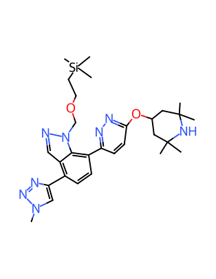 Cn1cc(-c2ccc(-c3ccc(OC4CC(C)(C)NC(C)(C)C4)nn3)c3c2cnn3COCC[Si](C)(C)C)nn1